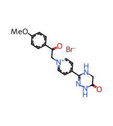 COc1ccc(C(=O)C[n+]2ccc(C3=NNC(=O)CN3)cc2)cc1.[Br-]